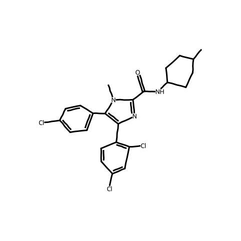 CC1CCC(NC(=O)c2nc(-c3ccc(Cl)cc3Cl)c(-c3ccc(Cl)cc3)n2C)CC1